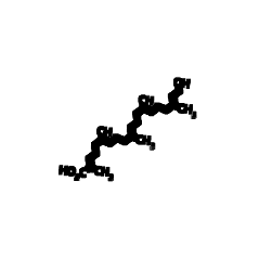 CC(=CCO)CCC=C(C)CCC=C(C)CCC=C(C)CCC=C(C)C(=O)O